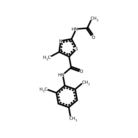 CC(=O)Nc1nc(C)c(C(=O)Nc2c(C)cc(C)cc2C)s1